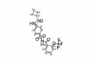 O=C(NS(=O)(=O)c1ccc(NC(=O)C2CCC2)cc1)c1ccccc1OC(F)(F)F